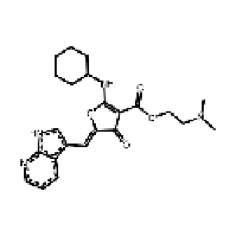 CN(C)CCOC(=O)C1=C(NC2CCCCC2)O/C(=C\c2c[nH]c3ncccc23)C1=O